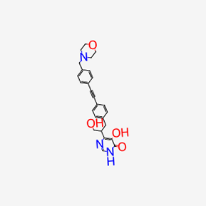 O=c1[nH]cnc(C(CO)Cc2ccc(C#Cc3ccc(CN4CCOCC4)cc3)cc2)c1O